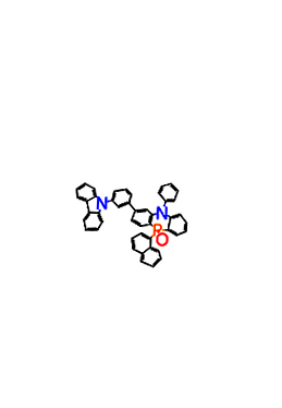 O=P1(c2cccc3ccccc23)c2ccccc2N(c2ccccc2)c2cc(-c3cccc(-n4c5ccccc5c5ccccc54)c3)ccc21